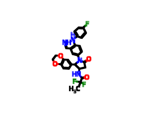 CC(F)(F)C(=O)NC1CC(=O)N(c2ccc(Nc3ccc(F)cc3)c(C=N)c2)C1c1ccc2c(c1)OCCO2